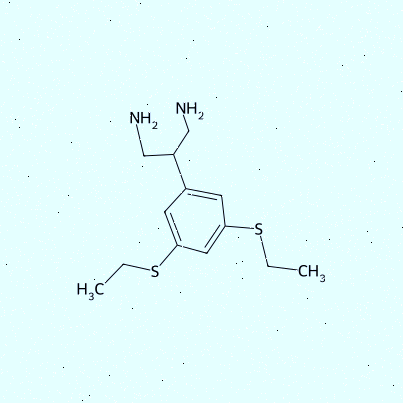 CCSc1cc(SCC)cc(C(CN)CN)c1